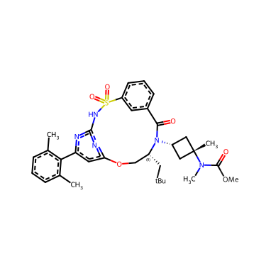 COC(=O)N(C)[C@]1(C)C[C@H](N2C(=O)c3cccc(c3)S(=O)(=O)Nc3nc(cc(-c4c(C)cccc4C)n3)OC[C@H]2CC(C)(C)C)C1